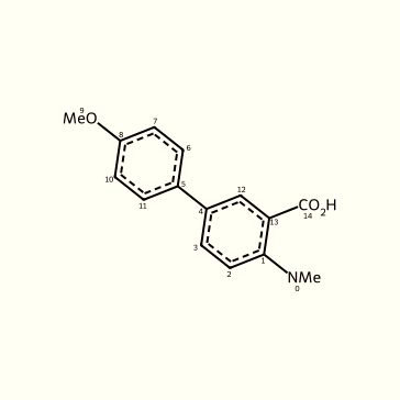 CNc1ccc(-c2ccc(OC)cc2)cc1C(=O)O